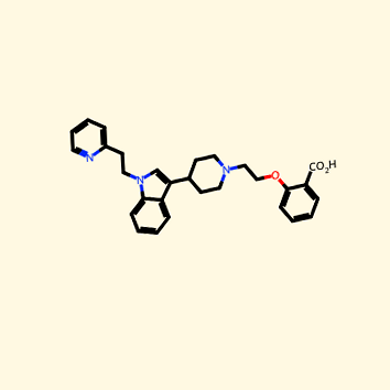 O=C(O)c1ccccc1OCCN1CCC(c2cn(CCc3ccccn3)c3ccccc23)CC1